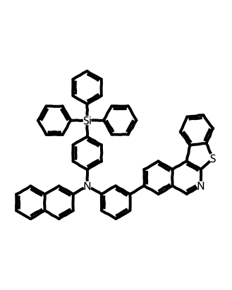 c1ccc([Si](c2ccccc2)(c2ccccc2)c2ccc(N(c3cccc(-c4ccc5c(cnc6sc7ccccc7c65)c4)c3)c3ccc4ccccc4c3)cc2)cc1